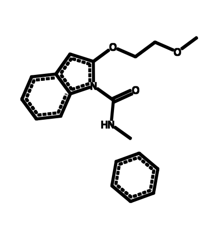 CNC(=O)n1c(OCCOC)cc2ccccc21.c1ccccc1